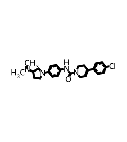 CN(C)C1CCN(c2ccc(NC(=O)N3CC=C(c4ccc(Cl)cc4)CC3)cc2)C1